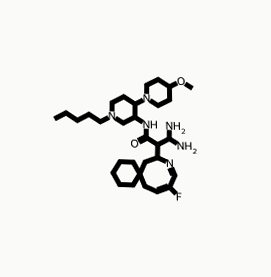 CCCCCN1CCC(N2CCC(OC)CC2)C(NC(=O)C(C(N)N)C2CC3(C/C=C(F)\C=N/2)CCCCC3)C1